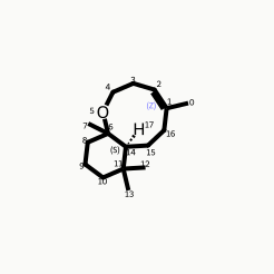 C/C1=C/CCOC2(C)CCCC(C)(C)[C@@H]2CC1